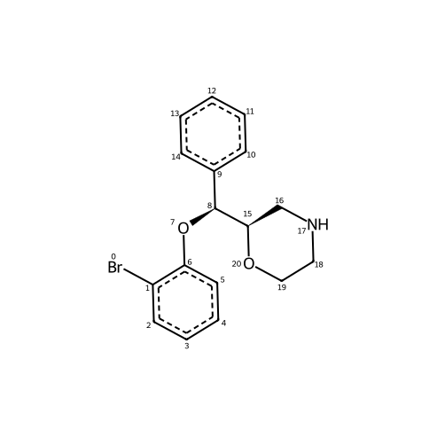 Brc1ccccc1O[C@@H](c1ccccc1)[C@H]1CNCCO1